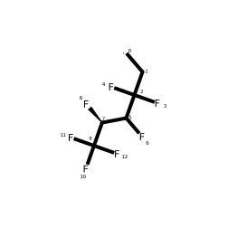 [CH2]CC(F)(F)C(F)[C@H](F)C(F)(F)F